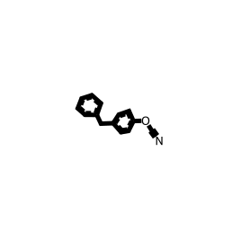 N#COc1ccc(Cc2ccccc2)cc1